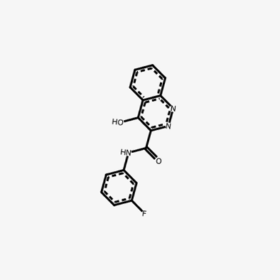 O=C(Nc1cccc(F)c1)c1nnc2ccccc2c1O